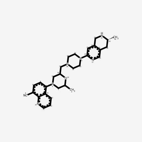 CC1CN(c2ccc(C#N)c3ncccc23)CC(CN2CCN(c3cc4c(cn3)C[C@@H](C)NC4)CC2)O1